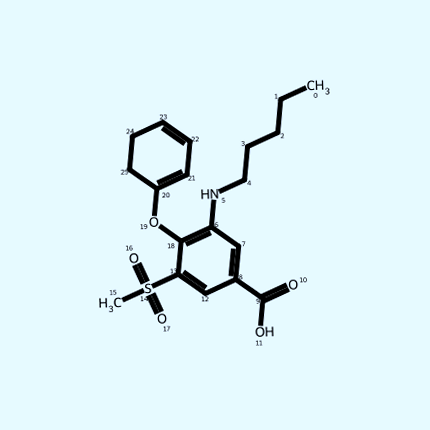 CCCCCNc1cc(C(=O)O)cc(S(C)(=O)=O)c1OC1=CC=CCC1